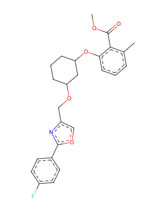 COC(=O)c1c(C)cccc1OC1CCCC(OCc2coc(-c3ccc(F)cc3)n2)C1